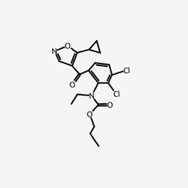 CCCOC(=O)N(CC)c1c(C(=O)c2cnoc2C2CC2)ccc(Cl)c1Cl